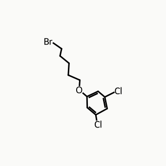 Clc1cc(Cl)cc(OCCCCCBr)c1